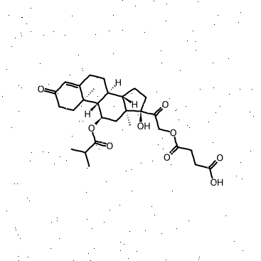 CC(C)C(=O)O[C@@H]1C[C@@]2(C)[C@@H](CC[C@]2(O)C(=O)COC(=O)CCC(=O)O)[C@@H]2CCC3=CC(=O)CC[C@]3(C)[C@H]21